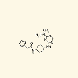 CN(C)c1ccnc(N[C@H]2CC[C@@H](NC(=O)Cc3cccs3)CC2)n1